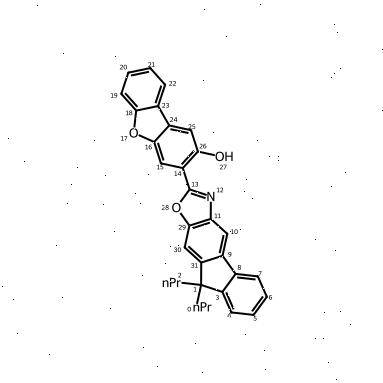 CCCC1(CCC)c2ccccc2-c2cc3nc(-c4cc5oc6ccccc6c5cc4O)oc3cc21